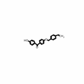 C=Cc1ccc(COc2ccc(C(=O)c3ccc(O)cc3)cc2)cc1